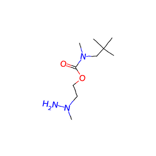 CN(N)CCOC(=O)N(C)CC(C)(C)C